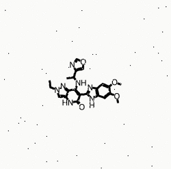 CCn1cc2[nH]c(=O)c(-c3nc4cc(OC)c(OC)cc4[nH]3)c(NC(C)c3cocn3)c2n1